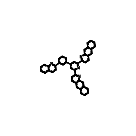 c1cc(-c2cc(-c3ccc4cc5ccccc5cc4n3)nc(-c3ccc4cc5ccccc5cc4n3)c2)cc(-c2ccc3ccccc3n2)c1